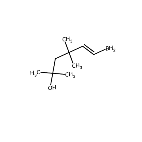 B/C=C/C(C)(C)CC(C)(C)O